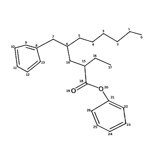 CCCCCCC(Cc1ccccc1)CC(CC)C(=O)Oc1ccccc1